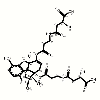 Cc1ccc(O)c2c1[C@]13CCN(C)[C@H](C)[C@]1(OC(=O)CCNC(=O)C[C@H](O)C(=O)O)CC=C(OC(=O)CCNC(=O)C[C@H](O)C(=O)O)[C@@H]3O2